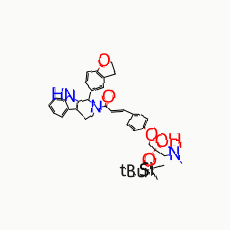 CN(C)C[C@](O)(COc1ccc(/C=C/C(=O)N2CCc3c([nH]c4ccccc34)C2c2ccc3c(c2)CCO3)cc1)O[Si](C)(C)C(C)(C)C